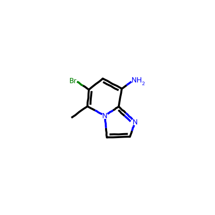 Cc1c(Br)cc(N)c2nccn12